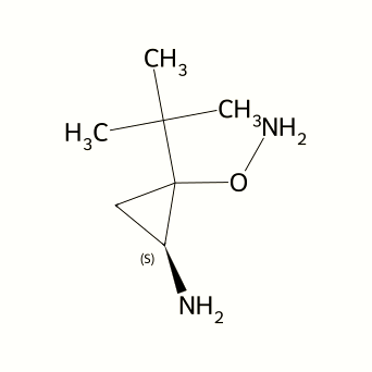 CC(C)(C)C1(ON)C[C@@H]1N